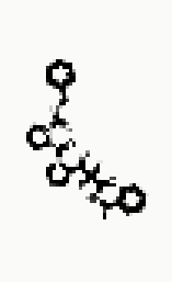 C[C@@H](NC(=O)C(F)(F)C(=O)C1CCCN1C(=O)[C@H]1CCCN1C(=O)OCc1ccccc1)c1ccccc1